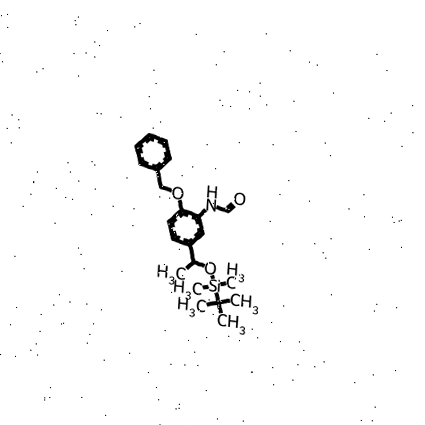 CC(O[Si](C)(C)C(C)(C)C)c1ccc(OCc2ccccc2)c(NC=O)c1